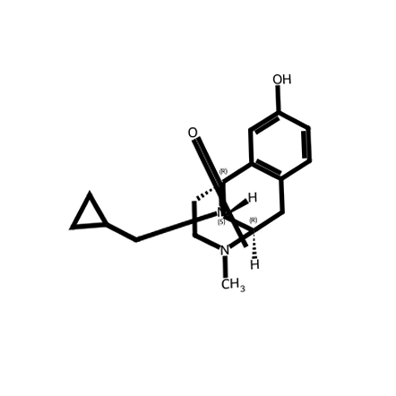 CN1CC[C@@]23C(=O)CN(CC4CC4)C[C@H]2[C@H]1Cc1ccc(O)cc13